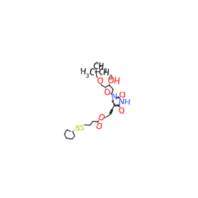 CC(C)(C)COCC1OC(n2cc(C#CCOC(=O)CCCSSC3CCCCC3)c(=O)[nH]c2=O)CC1O